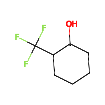 O[C]1CCCCC1C(F)(F)F